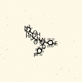 CC(C)(NC(=O)c1ccncn1)C(=O)Nc1nc(-c2ccc(F)cc2)c(Oc2ccc(F)cc2)s1